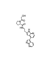 O=C(NCCc1cc2c(-c3cnn4ncccc34)ccnc2[nH]1)[C@H]1CCCN1C(=O)CO